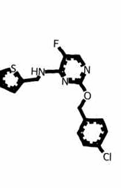 Fc1cnc(OCc2ccc(Cl)cc2)nc1NCc1cccs1